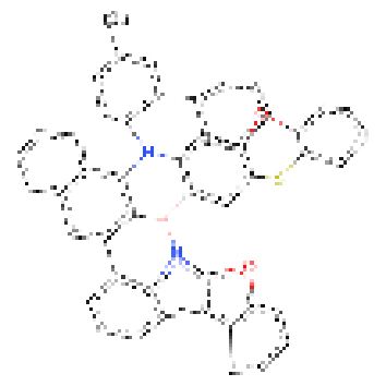 CC(C)(C)c1ccc(N2c3cc4c(cc3B3c5c(cc6ccccc6c52)-c2cccc5c6c7ccccc7oc6n3c25)Sc2ccccc2O4)c(-c2ccccc2)c1